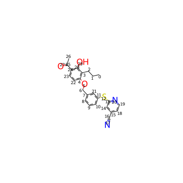 CCCc1c(OCc2cccc(Sc3cc(C#N)ccn3)c2)ccc(C(C)=O)c1O